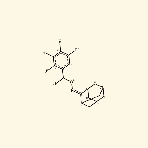 Fc1cc(C(F)ON=C2C3CC4CC2CN(C4)C3)c(F)c(F)c1F